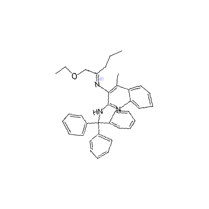 CCC/C(COCC)=N\c1c(NC(c2ccccc2)(c2ccccc2)c2ccccc2)nc2ccccc2c1C